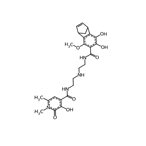 COc1c(C(=O)NCCNCCNC(=O)c2cc(C)n(C)c(=O)c2O)c(O)c(O)c2c1C1C=CC2C1